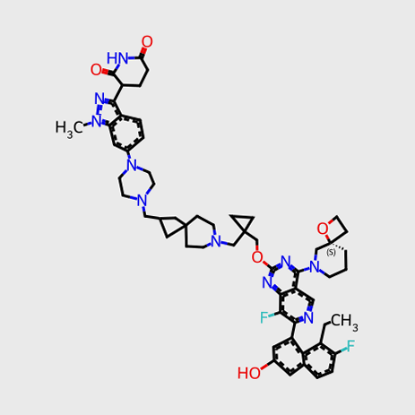 CCc1c(F)ccc2cc(O)cc(-c3ncc4c(N5CCC[C@]6(CCO6)C5)nc(OCC5(CN6CCC7(CC6)CC(CN6CCN(c8ccc9c(C%10CCC(=O)NC%10=O)nn(C)c9c8)CC6)C7)CC5)nc4c3F)c12